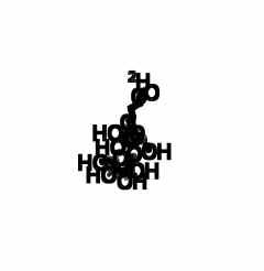 [2H]C(=O)OCCCO[C@@H]1O[C@H](CO)C(O[C@H]2O[C@H](CO)[C@@H](O)[C@H](O)[C@H]2O)[C@H](O)[C@H]1O